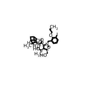 C=CCOc1c(I)cccc1CN1O[C@@H](CO)[C@@H]([C@H](C)O)[C@H]1C(=O)NC1CC2C[C@@H]([C@@H]1C)C2(C)C